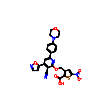 N#Cc1c(-c2ccno2)cc(-c2ccc(N3CCOCC3)cc2)nc1OCc1cc([N+](=O)[O-])sc1C(=O)O